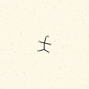 CCCC(F)(F)[C](F)F